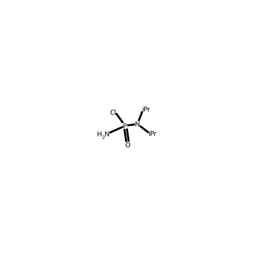 CC(C)N(C(C)C)P(N)(=O)Cl